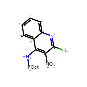 CCCCCCCCNc1c([N+](=O)[O-])c(Cl)nc2ccccc12